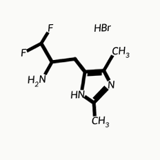 Br.Cc1nc(C)c(CC(N)C(F)F)[nH]1